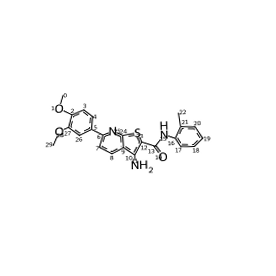 COc1ccc(-c2ccc3c(N)c(C(=O)Nc4ccccc4C)sc3n2)cc1OC